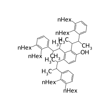 CCCCCCc1cccc(C(C)C(C)c2ccc(O)c(C(C)C(C)c3cccc(CCCCCC)c3CCCCCC)c2C(C)C(C)c2cccc(CCCCCC)c2CCCCCC)c1CCCCCC